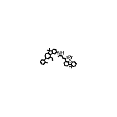 C=CC1=CC(c2ccccc2C)CCC2=C1c1cc(N/C(C)=C/C=C(\CCC)C3=C4SC5C=CCC[C@@H]5C4CCC3)ccc1C2(C)C